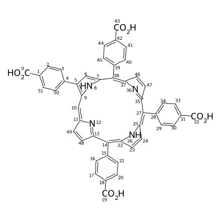 O=C(O)c1ccc(-c2cc3[nH]c2cc2nc(c(-c4ccc(C(=O)O)cc4)c4ccc([nH]4)c(-c4ccc(C(=O)O)cc4)c4nc(c3-c3ccc(C(=O)O)cc3)C=C4)C=C2)cc1